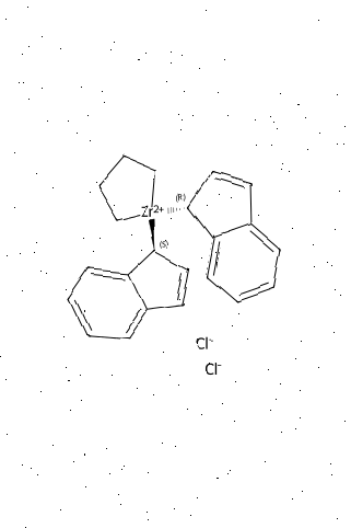 C1=C[C@@H]([Zr+2]2([C@H]3C=Cc4ccccc43)[CH2]CC[CH2]2)c2ccccc21.[Cl-].[Cl-]